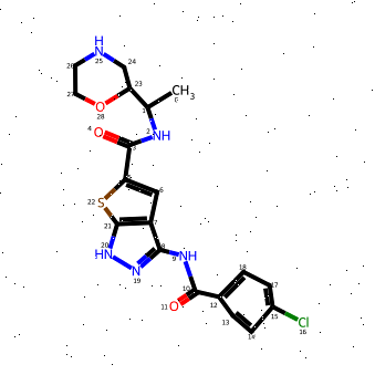 CC(NC(=O)c1cc2c(NC(=O)c3ccc(Cl)cc3)n[nH]c2s1)C1CNCCO1